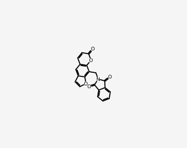 O=C1c2ccccc2C(=O)N1Cc1c2occc2cc2ccc(=O)oc12